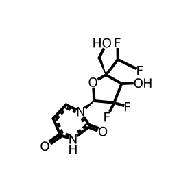 O=c1ccn([C@H]2O[C@](CO)(C(F)F)C(O)C2(F)F)c(=O)[nH]1